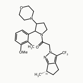 COc1cccc(C2C(N3CCOCC3)CCN2C(=O)Cn2nc3c(c2C(F)(F)F)CC[C@@H]3C)c1C